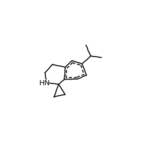 CC(C)c1ccc2c(c1)CCNC21CC1